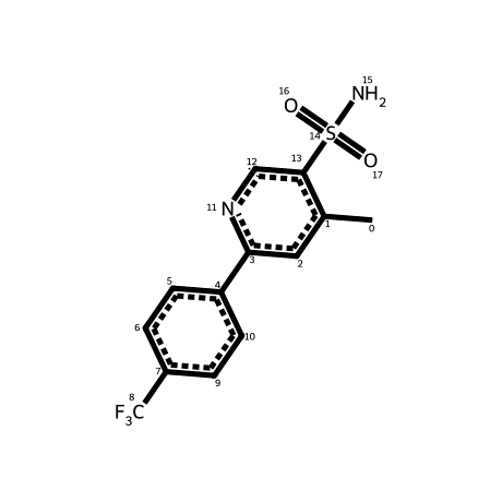 Cc1cc(-c2ccc(C(F)(F)F)cc2)n[c]c1S(N)(=O)=O